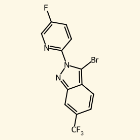 Fc1ccc(-n2nc3cc(C(F)(F)F)ccc3c2Br)nc1